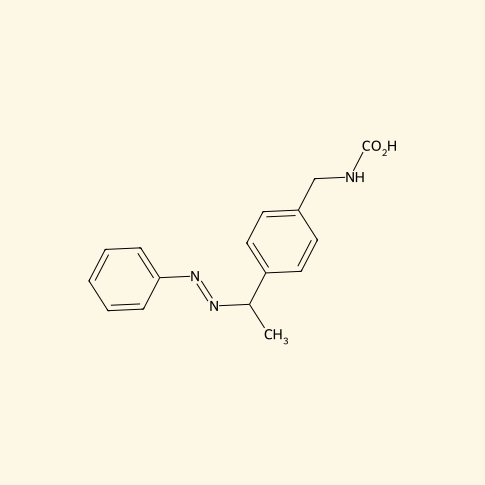 CC(N=Nc1ccccc1)c1ccc(CNC(=O)O)cc1